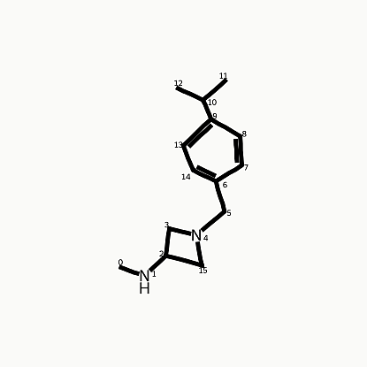 CNC1CN(Cc2ccc(C(C)C)cc2)C1